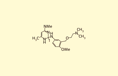 CNC1=NC(I)(Nc2ccc(OC)c(COCCN(C)C)c2)NC(C)=C1